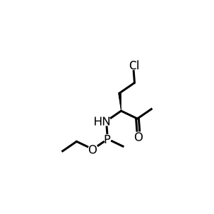 CCOP(C)N[C@@H](CCCl)C(C)=O